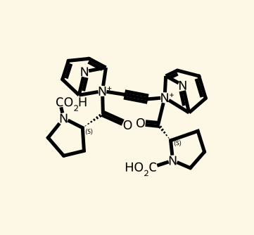 O=C(O)N1CCC[C@H]1C(=O)[N+]1(C#C[N+]2(C(=O)[C@@H]3CCCN3C(=O)O)C3=CC=CC2=N3)C2=CC=CC1=N2